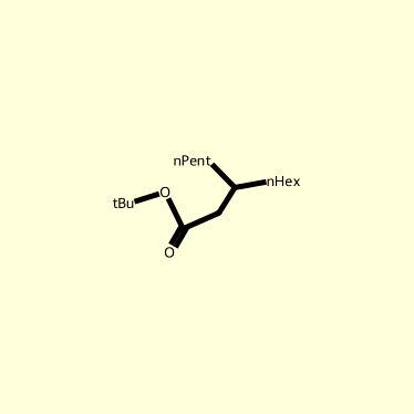 CCCCCCC(CCCCC)CC(=O)OC(C)(C)C